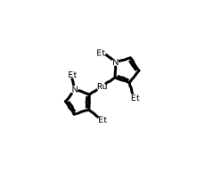 CCc1ccn(CC)[c]1[Ru][c]1c(CC)ccn1CC